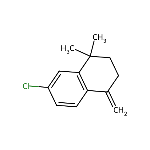 C=C1CCC(C)(C)c2cc(Cl)ccc21